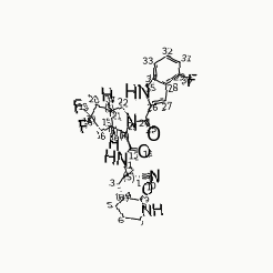 N#C[C@H](C[C@H]1CCCNC1=O)NC(=O)[C@H]1[C@@H]2CC(F)(F)C[C@@H]2CN1C(=O)c1cc2c(F)cccc2[nH]1